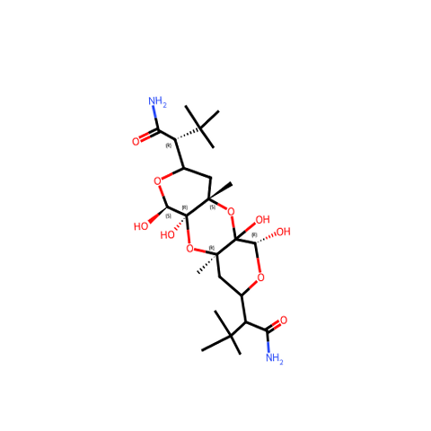 CC(C)(C)C(C(N)=O)C1C[C@@]2(C)O[C@@]3(O)[C@@H](O)OC([C@H](C(N)=O)C(C)(C)C)C[C@]3(C)OC2(O)[C@H](O)O1